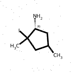 CC1C[C@@H](N)C(C)(I)C1